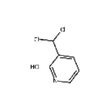 Cl.ClC(Cl)c1cccnc1